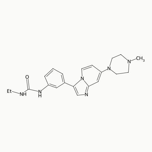 CCNC(=O)Nc1cccc(-c2cnc3cc(N4CCN(C)CC4)ccn23)c1